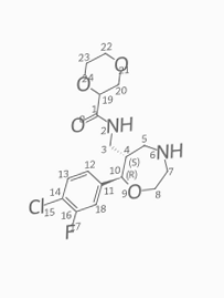 O=C(NC[C@@H]1CNCCO[C@H]1c1ccc(Cl)c(F)c1)C1COCCO1